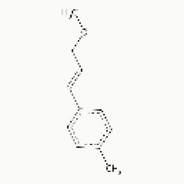 COC/C=C/c1ccc(C)cc1